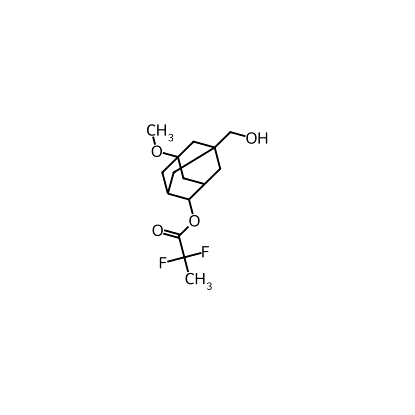 COC12CC3CC(CO)(CC(C1)C3OC(=O)C(C)(F)F)C2